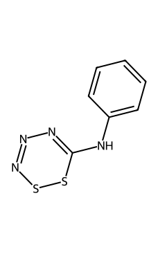 c1ccc(NC2=NN=NSS2)cc1